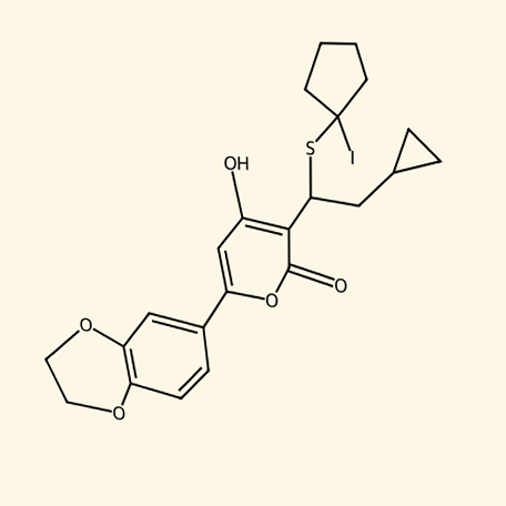 O=c1oc(-c2ccc3c(c2)OCCO3)cc(O)c1C(CC1CC1)SC1(I)CCCC1